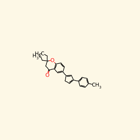 CCC1(CC)CC(=O)c2cc(C3=CC(c4ccc(C)cc4)=CC3)ccc2O1